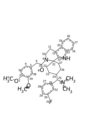 COc1ccc(CC(=O)N2CCc3c([nH]c4ccccc34)C23CCC(C(c2cccc(F)c2)N(C)C)CC3)cc1OC